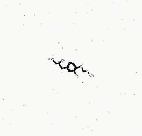 CCC(O)Cc1ccc(OCOC)c(Br)c1